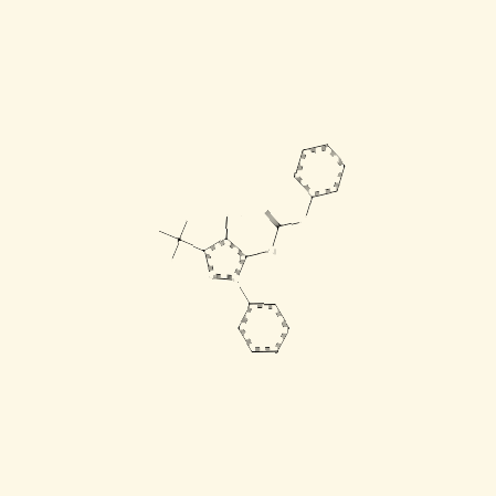 Cc1c(C(F)(F)F)nn(-c2ccccc2)c1NC(=O)Oc1ccccc1